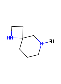 [2H]N1CCCC2(CCN2)C1